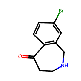 O=C1CCNCc2cc(Br)ccc21